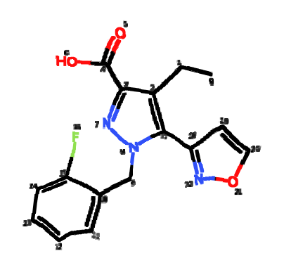 CCc1c(C(=O)O)nn(Cc2ccccc2F)c1-c1ccon1